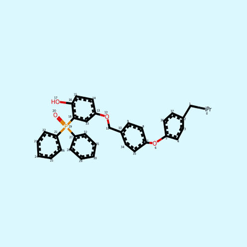 CC(C)Cc1ccc(Oc2ccc(COc3ccc(O)c(P(=O)(c4ccccc4)c4ccccc4)c3)cc2)cc1